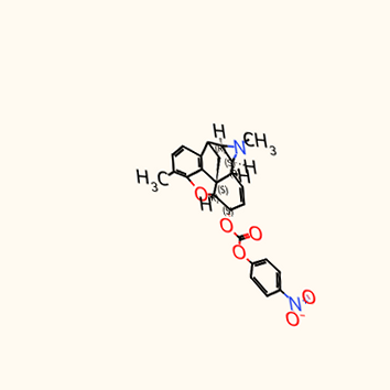 Cc1ccc2c3c1O[C@H]1[C@@H](OC(=O)Oc4ccc([N+](=O)[O-])cc4)C=C[C@H]4[C@H]5[C@@H](C2C[C@@]341)N5C